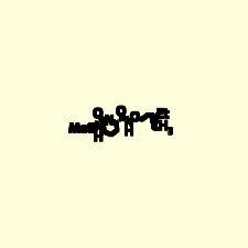 CCN(C)CCONC(=O)[C@@H]1CC[C@@H]2CN1C(=O)N2OC